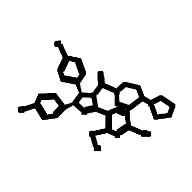 CCOc1nc(C(C)(C)C)ncc1C1=N[C@H](c2ccc(Cl)cc2)[C@H](c2ccc(Cl)cc2)N1C(=O)N1CCC(N2CCCC2)CC1